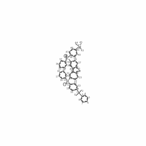 CC(C)(c1ccccc1)c1ccc(P(=O)(c2ccccc2)c2ccc3sc4ccc(P(=O)(c5ccccc5)c5ccc([Si](C)(C)C)cc5)cc4c3c2)cc1